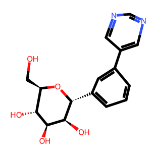 OC[C@H]1O[C@H](c2cccc(-c3cncnc3)c2)[C@@H](O)[C@@H](O)[C@@H]1O